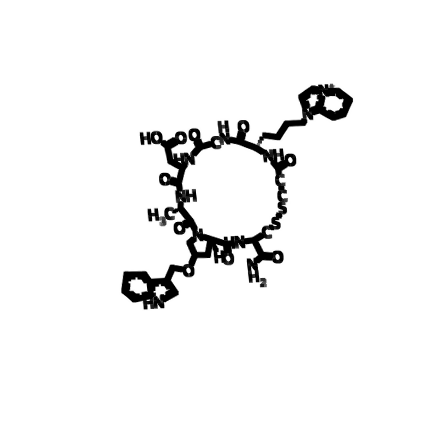 C[C@@H]1NC(=O)C(CC(=O)O)NC(=O)CNC(=O)[C@H](CCCCn2cc[n+]3ccccc23)NC(=O)CCSSCC(C(N)=O)NC(=O)[C@@H]2CC(OCc3c[nH]c4ccccc34)CN2C1=O